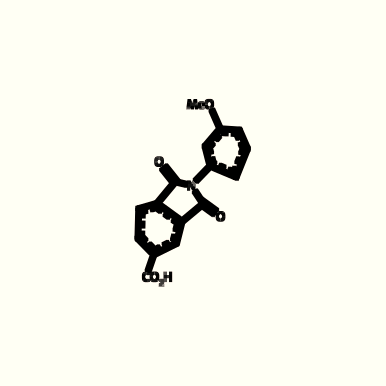 COc1cccc(N2C(=O)c3ccc(C(=O)O)cc3C2=O)c1